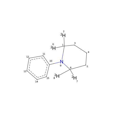 [2H]C1([2H])CCCC([2H])([2H])N1c1ccccc1